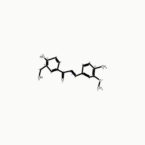 COc1cc(/C=C/C(=O)c2ccc(O)c(CO)c2)ccc1C